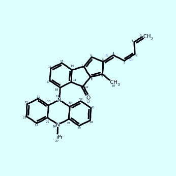 C=C/C=C\C=C1\C=C2C(=C1C)C(=O)c1c2cccc1N1c2ccccc2N(C(C)C)c2ccccc21